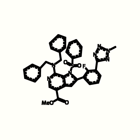 COC(=O)c1cnc(N(Cc2ccccc2)Cc2ccccc2)c2c1cc(-c1cccc(-c3nnn(C)n3)c1F)n2S(=O)(=O)c1ccccc1